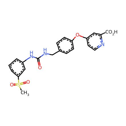 CS(=O)(=O)c1cccc(NC(=O)NCc2ccc(Oc3ccnc(C(=O)O)c3)cc2)c1